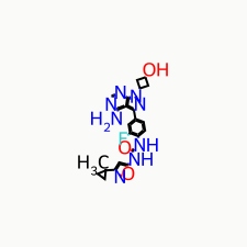 CC1(c2cc(NC(=O)Nc3ccc(-c4nn(C5CC(O)C5)c5ncnc(N)c45)cc3F)on2)CC1